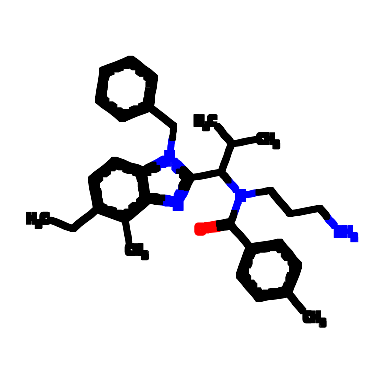 CCc1ccc2c(nc(C(C(C)C)N(CCCN)C(=O)c3ccc(C)cc3)n2Cc2ccccc2)c1C